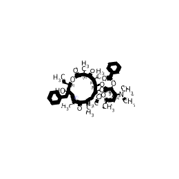 CC[C@H]1OC(=O)[C@H](C)C(=O)[C@H](C)[C@@H](OC2O[C@H](C)C[C@H](N(C)C)[C@H]2OC(=O)c2ccccc2)[C@@](C)(OC)C[C@@H](C)C(=O)/C(C)=C/[C@@]1(O)Cc1ccccc1